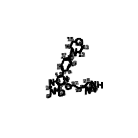 Cn1cnc2cc(-c3ccc(N4CCOCC4)cc3)nc(OCCC3CNN=N3)c2c1=O